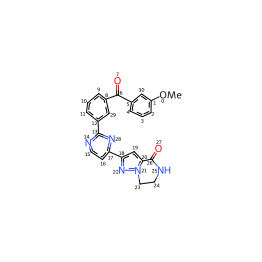 COc1cccc(C(=O)c2cccc(-c3nccc(-c4cc5n(n4)CCNC5=O)n3)c2)c1